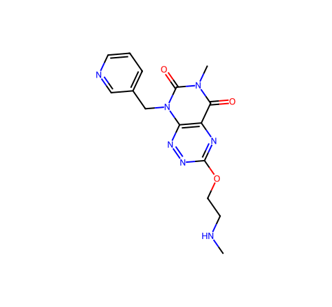 CNCCOc1nnc2c(n1)c(=O)n(C)c(=O)n2Cc1cccnc1